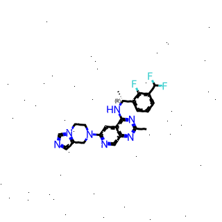 Cc1nc(N[C@H](C)c2cccc(C(F)F)c2F)c2cc(N3CCn4cncc4C3)ncc2n1